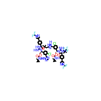 CC(C)(Cc1n[nH]c(-c2cc([C@@H](COC(=O)NC3(C)CC3)N3C(=N)N[C@](CC(C)(C)C(F)(F)F)(c4ccc(-c5cnn(C(F)F)c5)cc4)C3=O)ccc2Cl)n1)C[C@]1(c2ccc(-c3cnn(C(F)F)c3)cc2)NC(=N)N([C@H](COC(=O)NC2(C)CC2)c2ccc(Cl)c(-c3ncn[nH]3)c2)C1=O